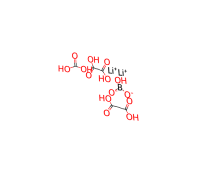 O=C(O)C(=O)O.O=C(O)C(=O)O.O=C(O)O.[Li+].[Li+].[O-]B([O-])O